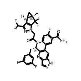 NC(=O)c1cc(-c2cc3[nH]ncc3nc2[C@H](Cc2cc(F)cc(F)c2)NC(=O)Cn2nc(C(F)F)c3c2C(F)(F)[C@@H]2C[C@H]32)ccc1F